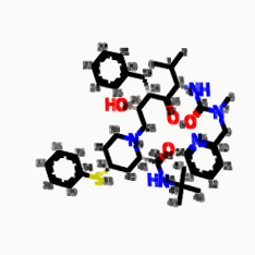 CC(C)[C@H](NC(=O)N(C)Cc1ccccn1)C(=O)[C@@H](Cc1ccccc1)[C@@H](O)CN1CC[C@@H](Sc2ccccc2)C[C@H]1C(=O)NC(C)(C)C